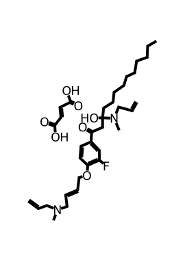 C=CCN(C)CC=CCOc1ccc(C(=O)CC(O)(CCCCCCCCCC)N(C)CC=C)cc1F.O=C(O)C=CC(=O)O